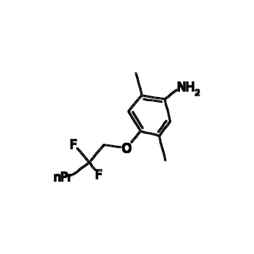 CCCC(F)(F)COc1cc(C)c(N)cc1C